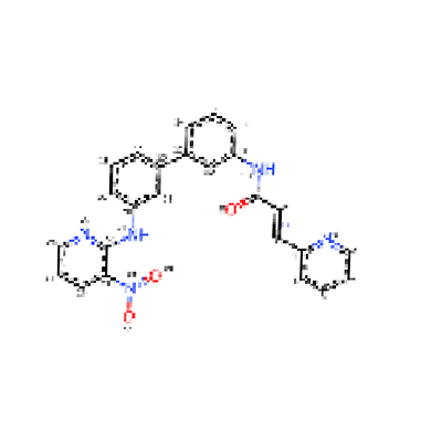 O=C(/C=C/c1ccccn1)Nc1cccc(-c2cccc(Nc3ncccc3[N+](=O)[O-])c2)c1